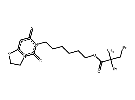 CC(C)CC(C)(C(=O)OCCCCCCn1c(=S)cc2n(c1=O)CCS2)C(C)C